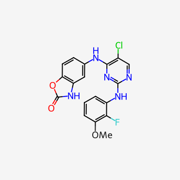 COc1cccc(Nc2ncc(Cl)c(Nc3ccc4oc(=O)[nH]c4c3)n2)c1F